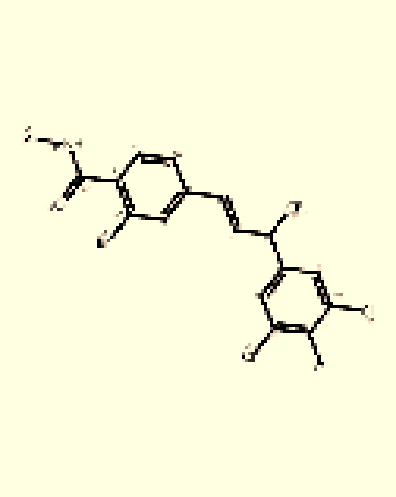 Cc1c(Cl)cc(C(/C=C/c2ccc(C(=O)NC(C)C)c(Br)c2)C(F)(F)F)cc1Cl